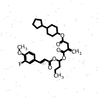 C=C(CC(=O)OC1CCC(C2CCCC2)CC1)C(=O)OC(CCC)OC(=O)/C=C/c1ccc(OC)c(F)c1